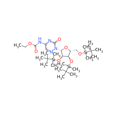 CCOC(=O)Nc1cnn([C@@H]2O[C@H](CO[Si](C)(C)C(C)(C)C)[C@@H](O[Si](C)(C)C(C)(C)C)[C@H]2O[Si](C)(C)C(C)(C)C)c(=O)n1